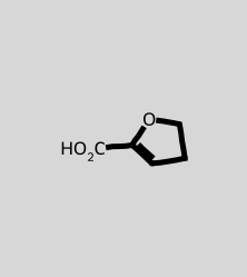 O=C(O)C1=CCCO1